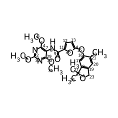 COc1nc(OC)c(NC(=O)c2ccc(Oc3cc4c(cc3C)COC4(C)C)o2)c(OC)n1